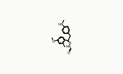 CNc1ccc(C/C(=N/NC=O)c2ccc(OC)cc2C)cc1